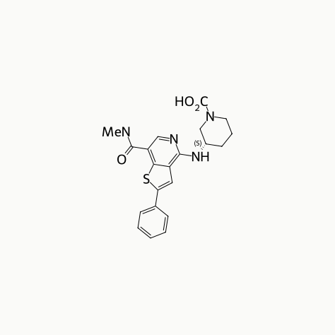 CNC(=O)c1cnc(N[C@H]2CCCN(C(=O)O)C2)c2cc(-c3ccccc3)sc12